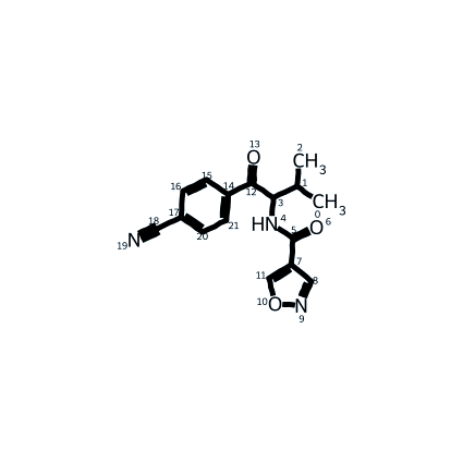 CC(C)C(NC(=O)c1cnoc1)C(=O)c1ccc(C#N)cc1